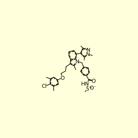 Cc1cc(OCCCc2c(C)n(Cc3ccc(C(=O)N[S+](C)[O-])cc3)c3c(-c4c(C)nn(C)c4C)cccc23)cc(C)c1Cl